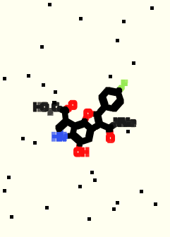 CNC(=O)c1c(-c2ccc(F)cc2)oc2c1cc(O)c1[nH]cc(C(=O)C(=O)O)c12